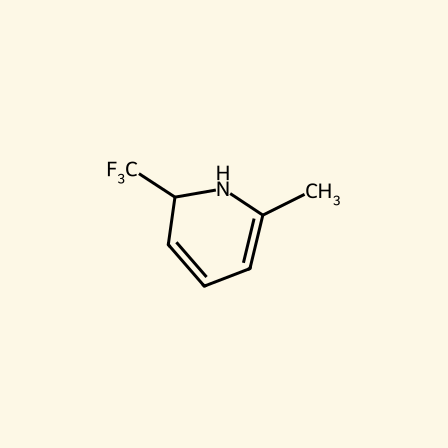 CC1=CC=CC(C(F)(F)F)N1